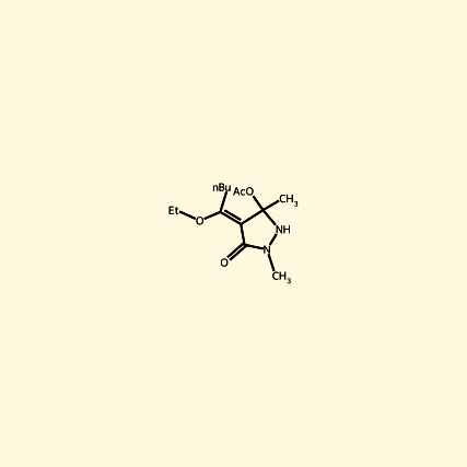 CCCCC(OCC)=C1C(=O)N(C)NC1(C)OC(C)=O